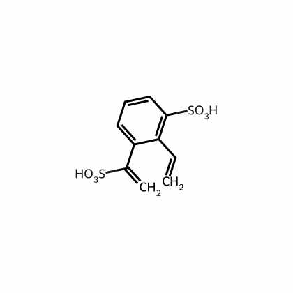 C=Cc1c(C(=C)S(=O)(=O)O)cccc1S(=O)(=O)O